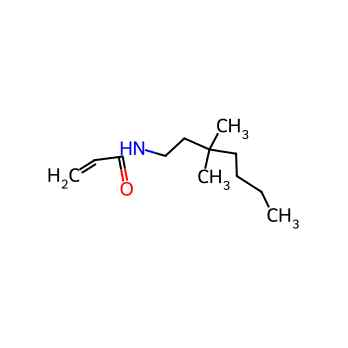 C=CC(=O)NCCC(C)(C)CCCC